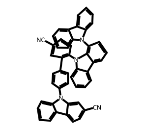 N#Cc1ccc(-n2c3ccccc3c3cccc(-n4c5ccccc5c5ccccc54)c32)c(-c2ccc(-n3c4ccccc4c4ccc(C#N)cc43)cc2)c1